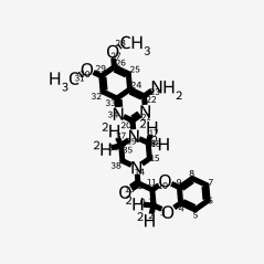 [2H]C1([2H])Oc2ccccc2OC1C(=O)N1CC([2H])([2H])N(c2nc(N)c3cc(OC)c(OC)cc3n2)C([2H])([2H])C1